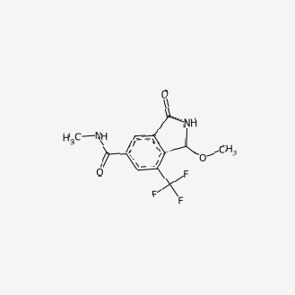 CNC(=O)c1cc2c(c(C(F)(F)F)c1)C(OC)NC2=O